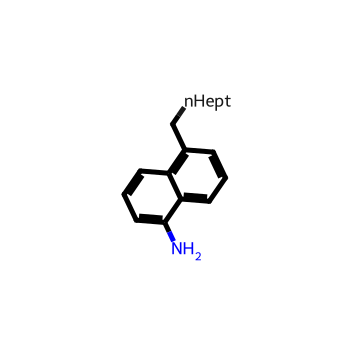 CCCCCCCCc1cccc2c(N)cccc12